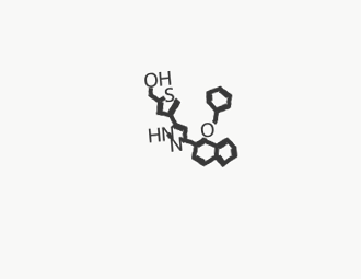 OCc1cc(-c2cc(-c3ccc4ccccc4c3OCc3ccccc3)n[nH]2)cs1